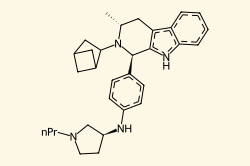 CCCN1CC[C@H](Nc2ccc([C@@H]3c4[nH]c5ccccc5c4C[C@@H](C)N3C3CC4CC3C4)cc2)C1